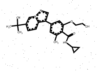 Cc1cc(-c2cnn3cc(C(C)(C)C#N)ccc23)cc(OCCO)c1C(=O)NC1CC1